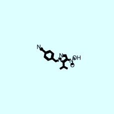 CC(C)c1c([N+](=O)O)cnn1Cc1ccc(C#N)cc1